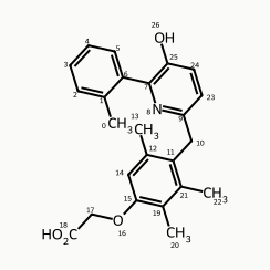 Cc1ccccc1-c1nc(Cc2c(C)cc(OCC(=O)O)c(C)c2C)ccc1O